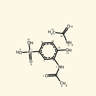 CC(=O)Nc1cc([As](=O)(O)O)ccc1O.CC(N)=O